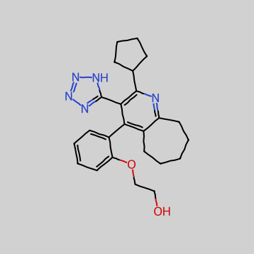 OCCOc1ccccc1-c1c2c(nc(C3CCCC3)c1-c1nnn[nH]1)CCCCC2